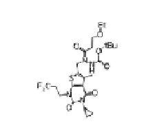 CCOC=CC(=O)N(Cc1sc2c(c1C)c(=O)n(C1CC1)c(=O)n2CCC(F)(F)F)NC(=O)OC(C)(C)C